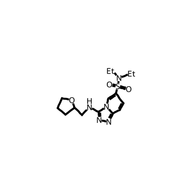 CCN(CC)S(=O)(=O)c1ccc2nnc(NCC3CCCO3)n2c1